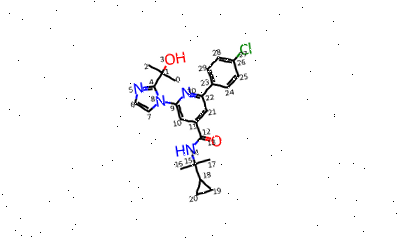 CC(C)(O)c1nccn1-c1cc(C(=O)NC(C)(C)C2CC2)cc(-c2ccc(Cl)cc2)n1